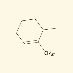 CC(=O)OC1=CCCCC1C